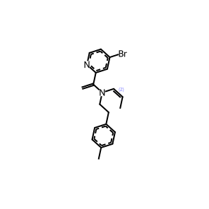 C=C(c1cc(Br)ccn1)N(/C=C\C)CCc1ccc(C)cc1